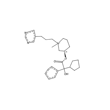 C[N+]1(CCCc2cncnc2)CCC[C@@H](OC(=O)C(O)(c2ccccc2)C2CCCC2)C1